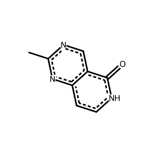 Cc1ncc2c(=O)[nH]ccc2n1